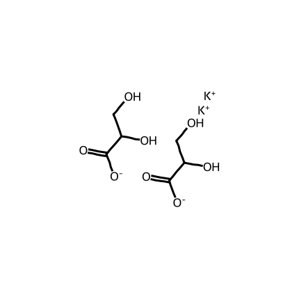 O=C([O-])C(O)CO.O=C([O-])C(O)CO.[K+].[K+]